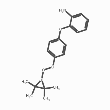 CC1(C)B(OOc2ccc(Oc3ccccc3N)cc2)C1(C)C